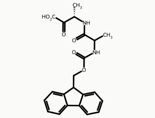 CC(NC(=O)OCC1c2ccccc2-c2ccccc21)C(=O)N[C@@H](C)C(=O)C(=O)O